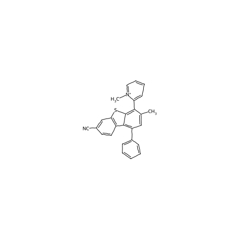 Cc1cc(-c2ccccc2)c2c(sc3cc(C#N)ccc32)c1-c1cccc[n+]1C